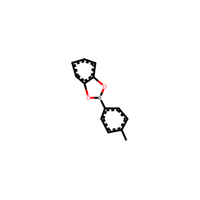 Cc1ccc(B2Oc3ccccc3O2)cc1